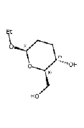 CCO[C@H]1CC[C@H](O)[C@@H](CO)O1